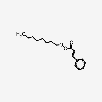 CCCCCCCCOOC(=O)C=Cc1ccccc1